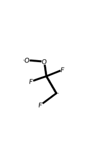 [O]OC(F)(F)[CH]F